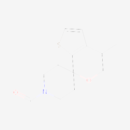 CC1COC2(CCN(C=O)CC2)c2sccc21